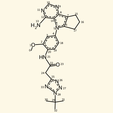 COc1cc(-n2c3c(c4ncnc(N)c42)CCC3)ccc1NC(=O)Cc1nnn(C(C)(C)C)n1